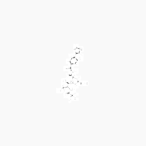 Cc1ncsc1-c1ccc([C@H](C)NC(=O)[C@@H]2C[C@@H](O)CN2C(=O)[C@@H](NC(=O)C(C)(C)C)C(C)(C)C)cc1